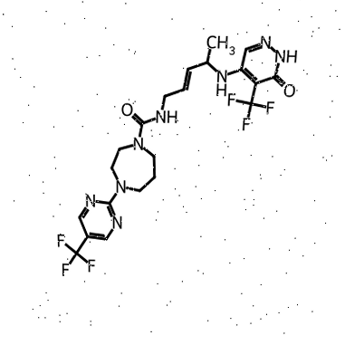 CC(/C=C/CNC(=O)N1CCCN(c2ncc(C(F)(F)F)cn2)CC1)Nc1cn[nH]c(=O)c1C(F)(F)F